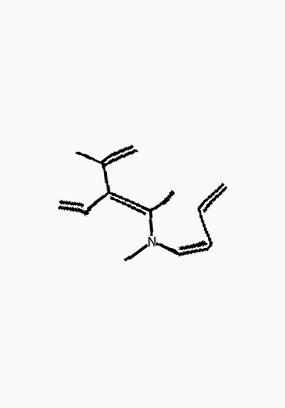 C=C/C=C\N(C)/C(C)=C(\C=C)C(=C)C